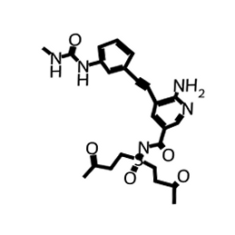 CNC(=O)Nc1cccc(C#Cc2cc(C(=O)N=S(=O)(CCC(C)=O)CCC(C)=O)cnc2N)c1